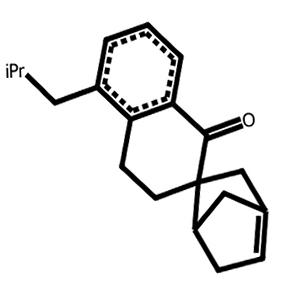 CC(C)Cc1cccc2c1CCC1(CC3=CCC1C3)C2=O